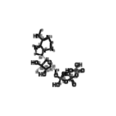 CNC1=NC=NN2C1=NCC2[C@@H]1O[C@H](COP(=O)(O)OP(=O)(O)OP(=O)(O)O)[C@@H](O)[C@@]1(C)O